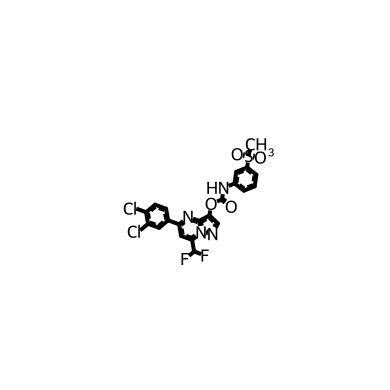 CS(=O)(=O)c1cccc(NC(=O)Oc2cnn3c(C(F)F)cc(-c4ccc(Cl)c(Cl)c4)nc23)c1